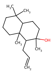 C=CCC1C(C)(O)CCC2C(C)(C)CCCC21C